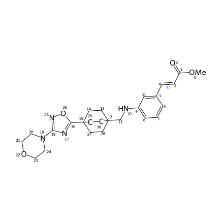 COC(=O)/C=C/c1cccc(NCC23CCC(c4nc(N5CCOCC5)no4)(CC2)CC3)c1